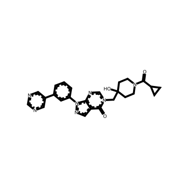 O=C(C1CC1)N1CCC(O)(Cn2cnc3c(cnn3-c3cccc(-c4cncnc4)c3)c2=O)CC1